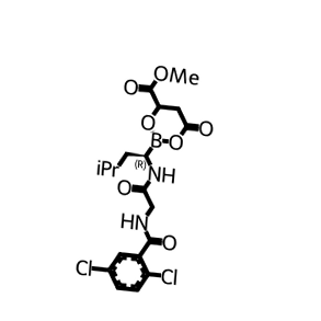 COC(=O)C1CC(=O)OB([C@H](CC(C)C)NC(=O)CNC(=O)c2cc(Cl)ccc2Cl)O1